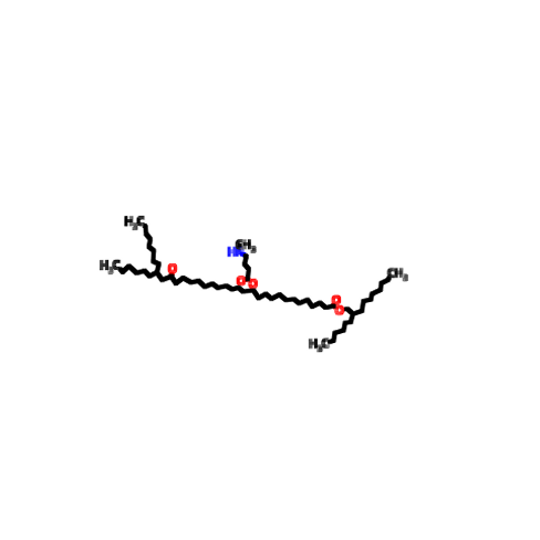 CCCCCCCCC(CCCCCC)COC(=O)CCCCCCCCCCCC(CCCCCCCCCCCC(=O)CC(CCCCCC)CCCCCCCC)OC(=O)CCCNC